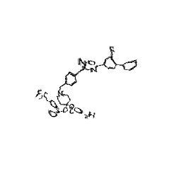 O=C(O)OC1(OC(=O)OCC(F)(F)F)CCN(Cc2ccc(-c3noc(-c4ccc(-c5ccccc5)c(F)c4)n3)cc2)CC1